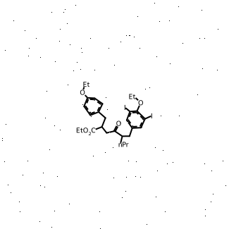 CCCC(Cc1cc(I)c(OCC)c(I)c1)C(=O)CC(Cc1ccc(OCC)cc1)C(=O)OCC